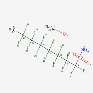 CC(=O)[O-].NS(=O)(=O)C(F)(F)C(F)(F)C(F)(F)C(F)(F)C(F)(F)C(F)(F)C(F)(F)C(F)(F)F.[Na+]